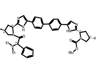 CCN(CC)[C@@H](C(=O)N1C[C@@H](F)C[C@H]1c1ncc(-c2ccc(-c3ccc(-c4cnc([C@@H]5C[C@H](F)CN5C(=O)OC(C)(C)C)[nH]4)cc3)cc2)[nH]1)c1ccccc1